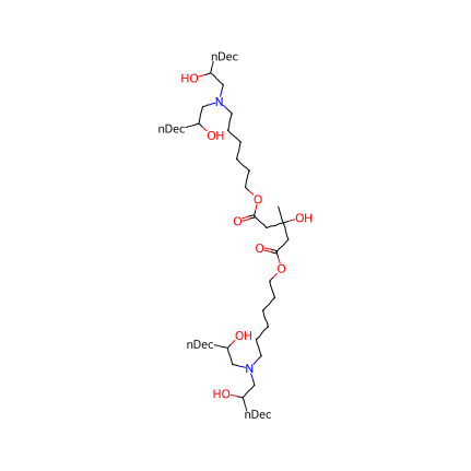 CCCCCCCCCCC(O)CN(CCCCCCOC(=O)CC(C)(O)CC(=O)OCCCCCCN(CC(O)CCCCCCCCCC)CC(O)CCCCCCCCCC)CC(O)CCCCCCCCCC